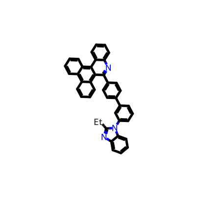 CCc1nc2ccccc2n1-c1cccc(-c2ccc(-c3nc4ccccc4c4c5ccccc5c5ccccc5c34)cc2)c1